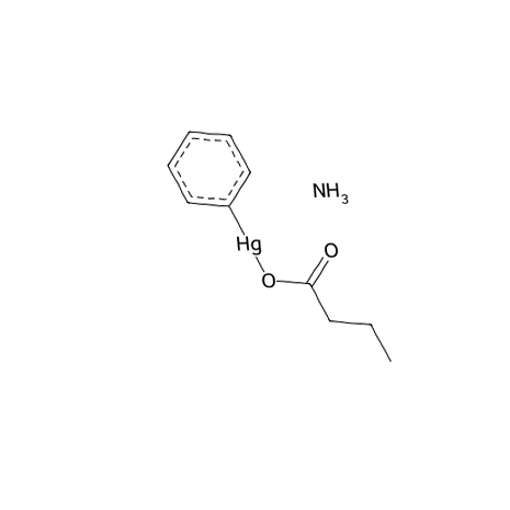 CCCC(=O)[O][Hg][c]1ccccc1.N